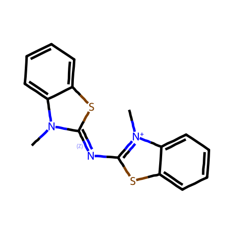 Cn1/c(=N/c2sc3ccccc3[n+]2C)sc2ccccc21